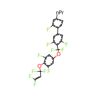 CCCc1ccc(-c2cc(F)c(C(F)(F)Oc3cc(F)c(OC(F)(F)C=C(F)F)c(F)c3)c(F)c2)c(F)c1